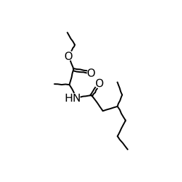 CCCC(CC)CC(=O)NC(C)C(=O)OCC